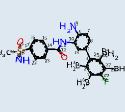 Bc1c(B)c(-c2ccc(N)c(NC(=O)c3ccc(S(C)(=N)=O)cc3)c2)c(B)c(B)c1F